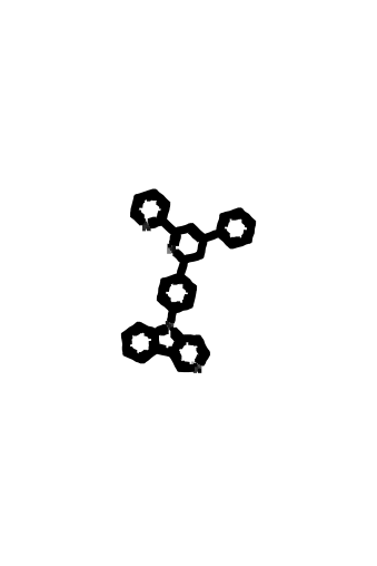 C1=C(c2ccccc2)CC(c2ccc(-n3c4ccccc4c4cnccc43)cc2)N=C1c1ccccn1